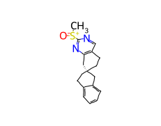 C[S+]([O-])c1ncc2c(n1)C[C@]1(CCc3ccccc3C1)CC2